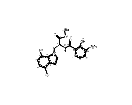 CCC(C)OC(=O)[C@H](Cn1ccc2c(Br)ccc(F)c21)NC(=O)c1nccc(OC)c1O